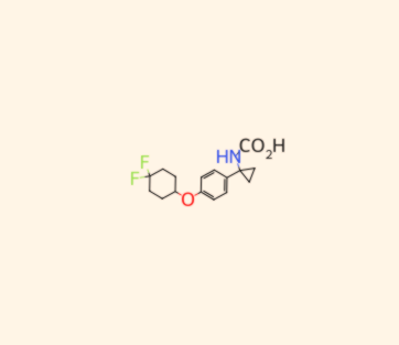 O=C(O)NC1(c2ccc(OC3CCC(F)(F)CC3)cc2)CC1